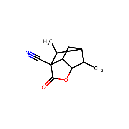 CC1C2CC3C1OC(=O)C3(C#N)C2C